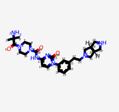 CC(C)(N)C(=O)N1CCN(C(=O)Nc2ccn(-c3cccc(CCN4C[C@H]5CNC[C@H]5C4)c3)c(=O)n2)CC1